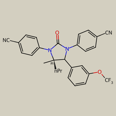 CCC[C@]1(C)C(c2cccc(OC(F)(F)F)c2)N(c2ccc(C#N)cc2)C(=O)N1c1ccc(C#N)cc1